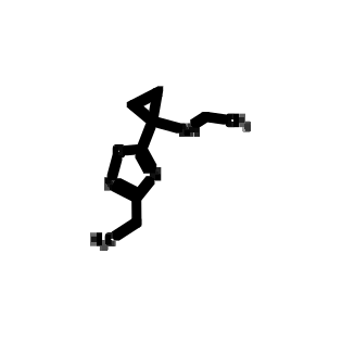 CCNC1(c2nc(CC)no2)CC1